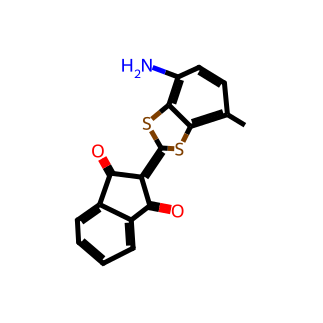 Cc1ccc(N)c2c1SC(=C1C(=O)c3ccccc3C1=O)S2